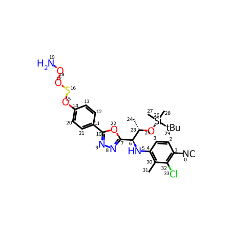 [C-]#[N+]c1ccc(N[C@@H](c2nnc(-c3ccc(OSOON)cc3)o2)[C@H](C)O[Si](C)(C)C(C)(C)C)c(C)c1Cl